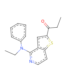 CCC(=O)c1cc2c(N(CC)c3ccccc3)nccc2s1